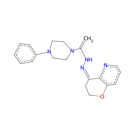 C=C(N/N=C1/CCOc2cccnc21)N1CCN(c2ccccc2)CC1